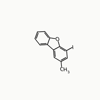 Cc1cc(I)c2oc3ccccc3c2c1